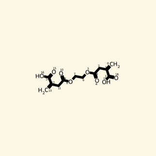 C=C(CC(=O)OCCOC(=O)CC(=C)C(=O)O)C(=O)O